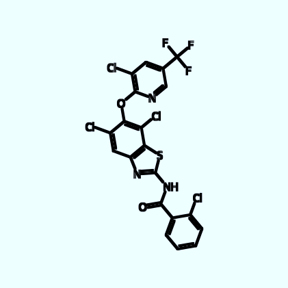 O=C(Nc1nc2cc(Cl)c(Oc3ncc(C(F)(F)F)cc3Cl)c(Cl)c2s1)c1ccccc1Cl